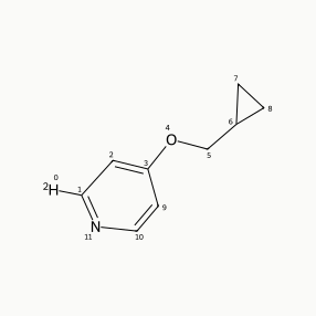 [2H]c1cc(OCC2CC2)ccn1